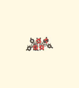 Cc1ccc([SiH](O[Si](O[Si](O[Si](O[Si](O[SiH](c2ccc(C)cc2)c2ccc(C)cc2)(c2ccc(C)cc2)c2ccc(C)cc2)(c2ccc(C)cc2)c2ccc(C)cc2)(c2ccc(C)cc2)c2ccc(C)cc2)(c2ccc(C)cc2)c2ccc(C)cc2)c2ccc(C)cc2)cc1